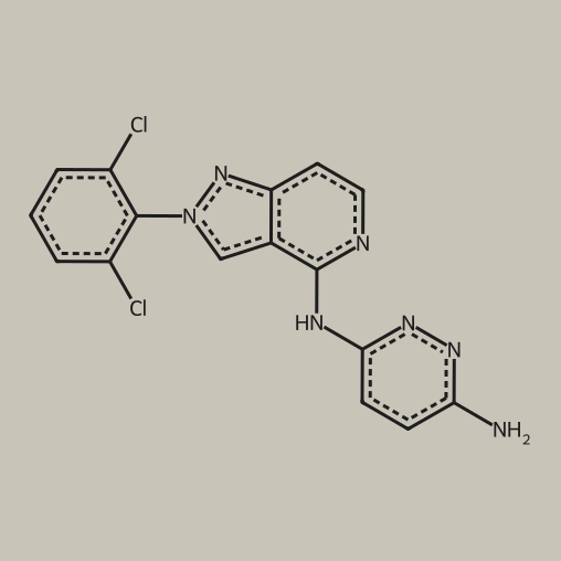 Nc1ccc(Nc2nccc3nn(-c4c(Cl)cccc4Cl)cc23)nn1